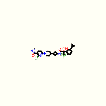 CN(C)C(=O)c1ccc(N2CCC(C3CC(N(C)C(=O)[C@](O)(c4cccc(C5CC5)c4)C(F)(F)F)C3)CC2)nc1Cl